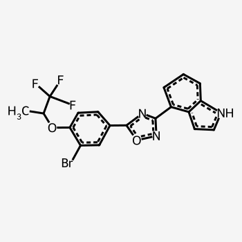 CC(Oc1ccc(-c2nc(-c3cccc4[nH]ccc34)no2)cc1Br)C(F)(F)F